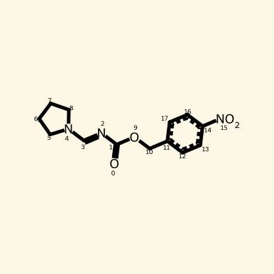 O=C(N=CN1C[CH]CC1)OCc1ccc([N+](=O)[O-])cc1